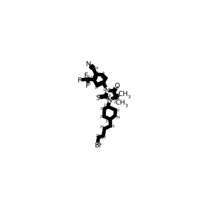 CC1(C)C(=O)N(c2ccc(C#N)c(C(F)(F)F)c2)C(=S)N1C1CCC(CCCCBr)CC1